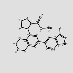 Cc1c[nH]c2ncc(-c3cc4c(c(C5CCCN5C(=O)OC(C)(C)C)c3)CCOC4)cc12